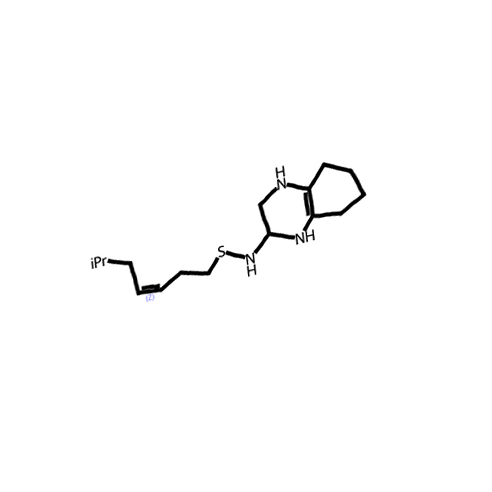 CC(C)C/C=C\CCSNC1CNC2=C(CCCC2)N1